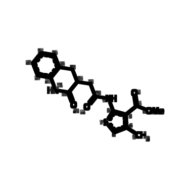 COC(=O)c1c(C)csc1NC(=O)CC1Cc2ccccc2NC1=O